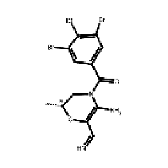 C[C@@H]1CN(C(=O)c2cc(Br)c(O)c(Br)c2)C(N)=C(C=N)O1